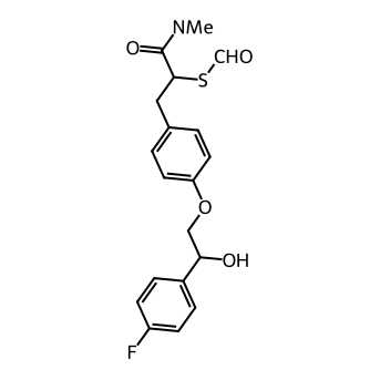 CNC(=O)C(Cc1ccc(OCC(O)c2ccc(F)cc2)cc1)SC=O